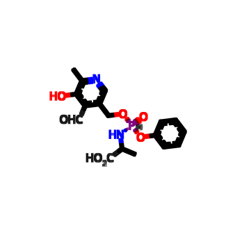 Cc1ncc(CO[P@](=O)(NC(C)C(=O)O)Oc2ccccc2)c(C=O)c1O